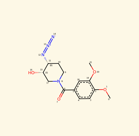 COc1ccc(C(=O)N2CC[C@@H](N=[N+]=[N-])[C@@H](O)C2)cc1OC